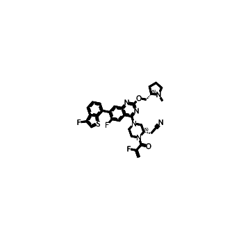 C=C(F)C(=O)N1CCN(c2nc(OC[C@@H]3CCCN3C)nc3cc(-c4cccc5c(F)csc45)c(F)cc23)C[C@@H]1CC#N